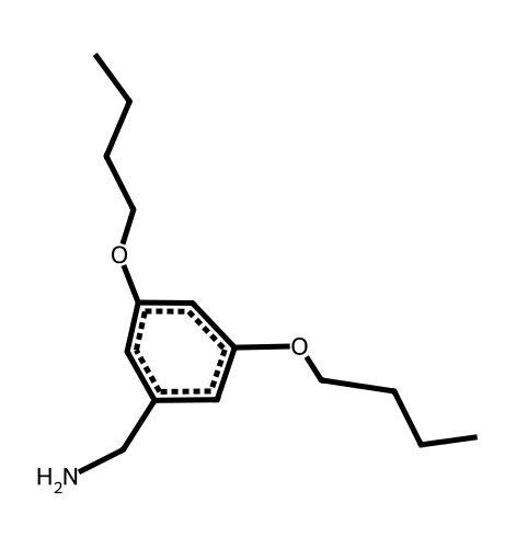 CCCCOc1cc(CN)cc(OCCCC)c1